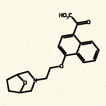 O=C(O)C(=O)c1ccc(OCCN2CC3CCC(C2)O3)c2ccccc12